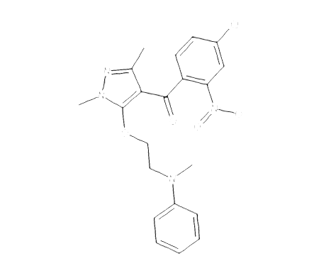 Cc1nn(C)c(OCCN(C)c2ccccc2)c1C(=O)c1ccc(Cl)cc1[N+](=O)[O-]